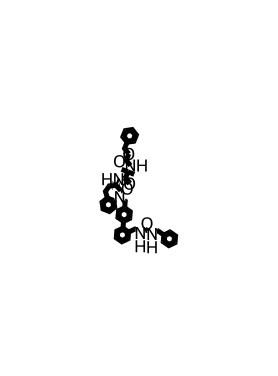 CC(C)(NC(=O)OCc1ccccc1)C(=O)N[C@@H]1CCc2ccccc2N(Cc2ccc(-c3ccccc3CNC(=O)NCc3ccccc3)cc2)C1=O